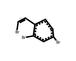 Br/C=C\c1ccc(Br)cc1Br